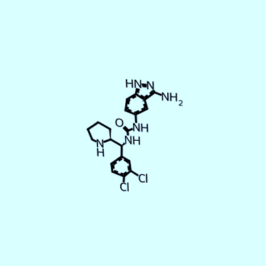 Nc1n[nH]c2ccc(NC(=O)N[C@@H](c3ccc(Cl)c(Cl)c3)[C@@H]3CCCCN3)cc12